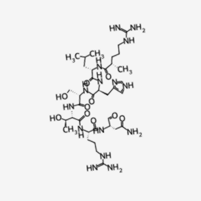 CC(C)C[C@H](NC(=O)[C@@H](C)CCCNC(=N)N)C(=O)N[C@@H](Cc1c[nH]cn1)C(=O)N[C@@H](CO)C(=O)N[C@H](C(=O)N[C@@H](CCCNC(=N)N)C(=O)N[C@H](C=O)CC(N)=O)[C@@H](C)O